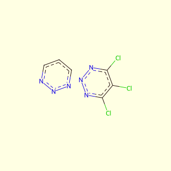 Clc1nnnc(Cl)c1Cl.c1cnnnc1